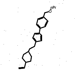 C=CC1CCC(CCc2ccc(-c3ccc(COCCC)cc3)cc2)CC1